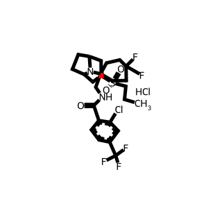 CCCS(=O)(=O)N1CC2CCC(C1)N2C1(CNC(=O)c2ccc(C(F)(F)F)cc2Cl)CCC(F)(F)CC1.Cl